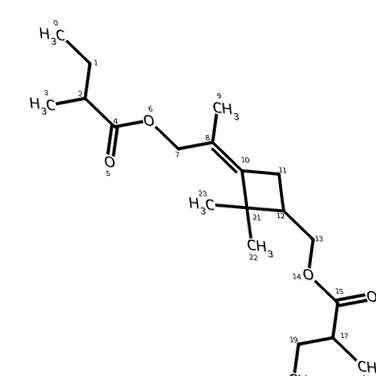 CCC(C)C(=O)OCC(C)=C1CC(COC(=O)C(C)CC)C1(C)C